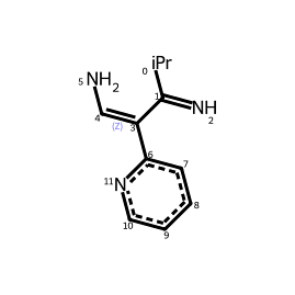 CC(C)C(=N)/C(=C\N)c1ccccn1